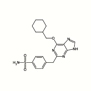 NS(=O)(=O)c1ccc(Cc2nc(OCC3CCCCC3)c3nc[nH]c3n2)cc1